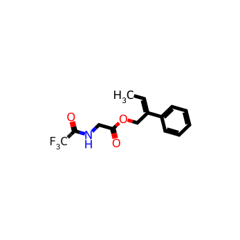 CC=C(COC(=O)CNC(=O)C(F)(F)F)c1ccccc1